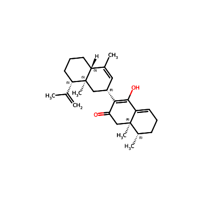 C=C(C)[C@@H]1CCC[C@@H]2C(C)=C[C@H](C3=C(O)C4=CCC[C@H](C)[C@@]4(C)CC3=O)C[C@]21C